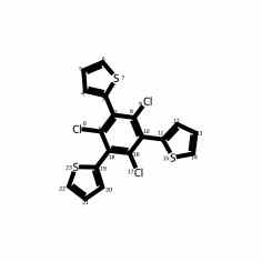 Clc1c(-c2cccs2)c(Cl)c(-c2cccs2)c(Cl)c1-c1cccs1